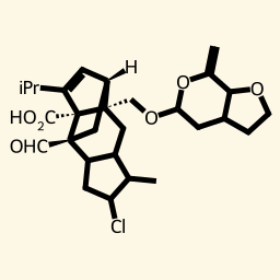 C=C1OC(OC[C@@]23CC4C(C)C(Cl)CC4[C@@]4(C=O)C[C@@H]2C=C(C(C)C)[C@@]34C(=O)O)CC2CCOC12